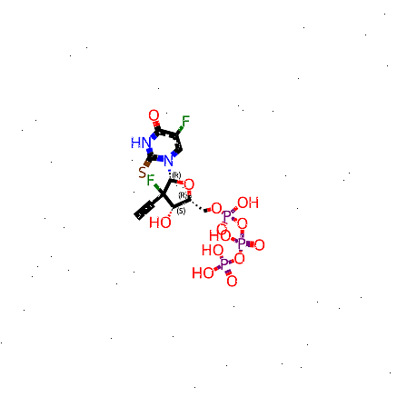 C#CC1(F)[C@@H](O)[C@@H](COP(=O)(O)OP(=O)(O)OP(=O)(O)O)O[C@H]1n1cc(F)c(=O)[nH]c1=S